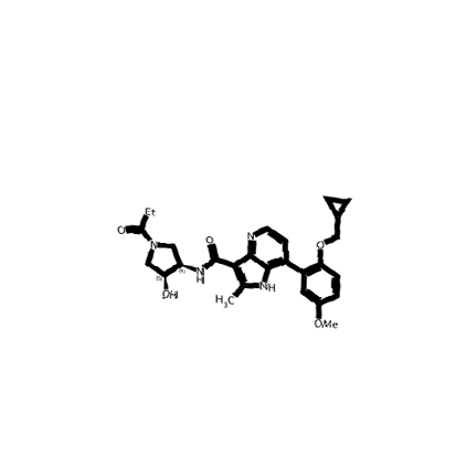 CCC(=O)N1C[C@H](O)[C@H](NC(=O)c2c(C)[nH]c3c(-c4cc(OC)ccc4OCC4CC4)ccnc23)C1